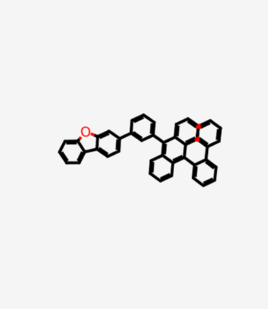 c1ccc(-c2ccccc2-c2c3ccccc3c(-c3cccc(-c4ccc5c(c4)oc4ccccc45)c3)c3ccccc23)cc1